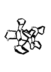 c1ccc(-c2nc(-n3c4ccccc4c4c5ncoc5c5c(c43)C3(c4ccccc4-c4ccccc43)c3cccnc3-5)nc3ccccc23)cc1